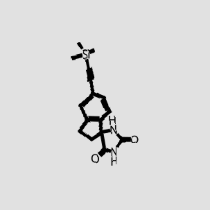 C[Si](C)(C)C#Cc1ccc2c(c1)CCC21NC(=O)NC1=O